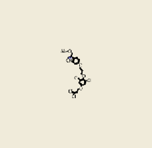 COC/C(=C/C#N)c1ccc(OCCCOc2c(Cl)cc(OCC=C(Cl)Cl)cc2Cl)cc1